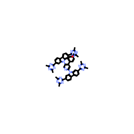 Cc1nc(C)nc(-c2ccc3c4ccc(-c5nc(C)nc(C)n5)cc4n(-c4cc(-c5ccc(C#N)cc5)c(-n5c6cc(-c7nc(C)nc(C)n7)ccc6c6ccc(-c7nc(C)nc(C)n7)cc65)cn4)c3c2)n1